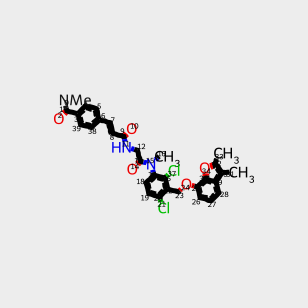 CNC(=O)c1ccc(C=CC(=O)NCC(=O)N(C)c2ccc(Cl)c(COc3cccc4c(C)c(C)oc34)c2Cl)cc1